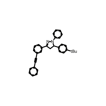 CC(C)(C)c1ccc(C2CC(c3cccc(C#Cc4ccccc4)c3)=NN2c2ccccc2)cc1